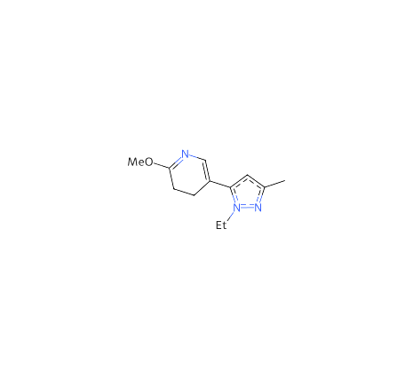 CCn1nc(C)cc1C1=CN=C(OC)CC1